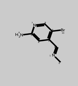 C/N=C/c1cc(N)ncc1Br